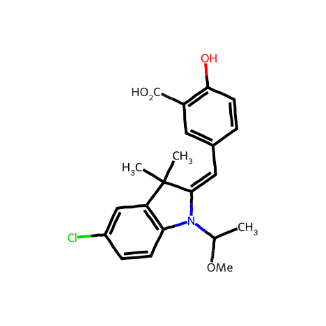 COC(C)N1/C(=C/c2ccc(O)c(C(=O)O)c2)C(C)(C)c2cc(Cl)ccc21